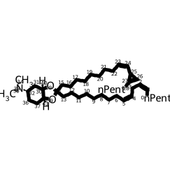 CCCCC/C=C\C/C=C\CCCCCCCCC1(CCCCCCCC/C=C\C2C=C2CCCCC)O[C@H]2C[C@@H](N(C)C)CC[C@H]2O1